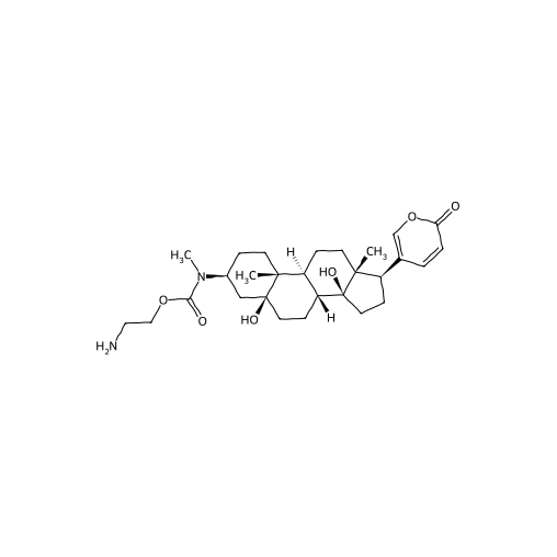 CN(C(=O)OCCN)[C@H]1CC[C@]2(C)[C@H]3CC[C@]4(C)[C@@H](c5ccc(=O)oc5)CC[C@]4(O)[C@@H]3CC[C@]2(O)C1